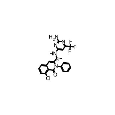 C[C@H](Nc1cc(C(F)(F)F)nc(N)n1)c1cc2cccc(Cl)c2c(=O)n1-c1ccccc1